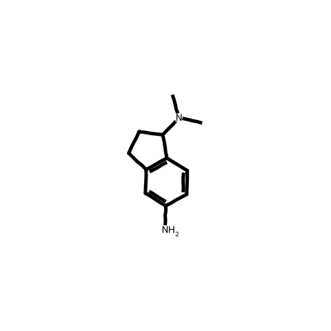 CN(C)C1CCc2cc(N)ccc21